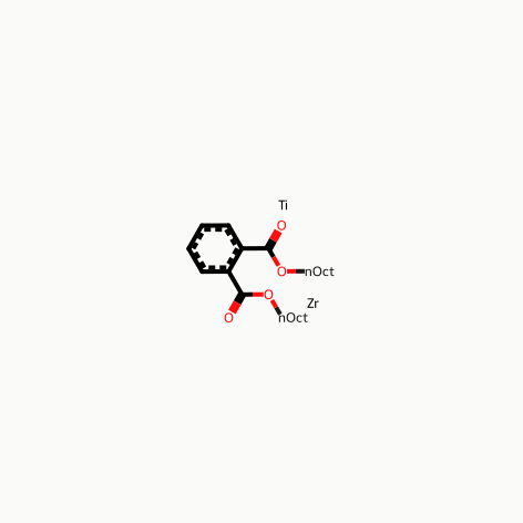 CCCCCCCCOC(=O)c1ccccc1C(=O)OCCCCCCCC.[Ti].[Zr]